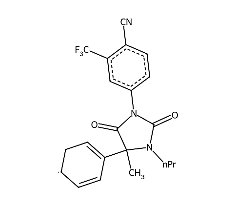 CCCN1C(=O)N(c2ccc(C#N)c(C(F)(F)F)c2)C(=O)C1(C)C1=CC[CH]C=C1